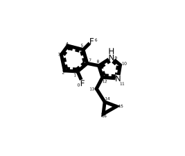 Fc1cccc(F)c1-c1[nH]cnc1CC1CC1